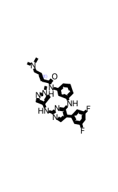 CN(C)C/C=C/C(=O)Nc1cccc(Nc2nc(Nc3cnn(C)c3)ncc2-c2cc(F)cc(F)c2)c1